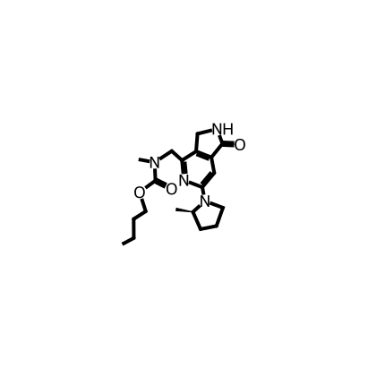 CCCCOC(=O)N(C)Cc1nc(N2CCC[C@H]2C)cc2c1CNC2=O